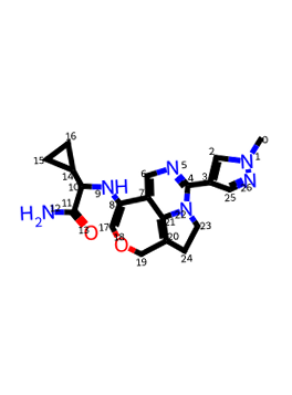 Cn1cc(C2=NC=C3C(NC(C(N)=O)C4CC4)=COCC4=C3N2CC4)cn1